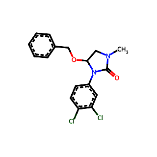 CN1CC(OCc2ccccc2)N(c2ccc(Cl)c(Cl)c2)C1=O